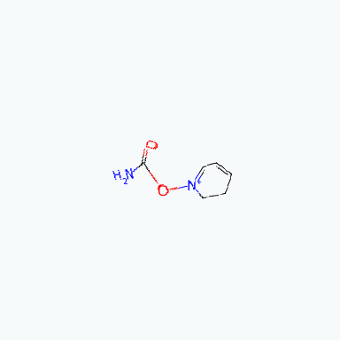 NC(=O)O[N+]1=CC=CCC1